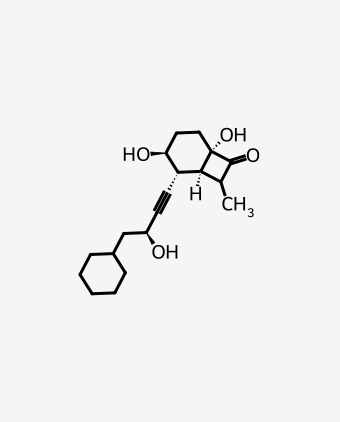 CC1C(=O)[C@]2(O)CC[C@H](O)[C@@H](C#C[C@@H](O)CC3CCCCC3)[C@H]12